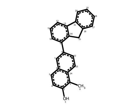 Cc1c(O)ccc2cc(-c3cccc4c3Cc3ccccc3-4)ccc12